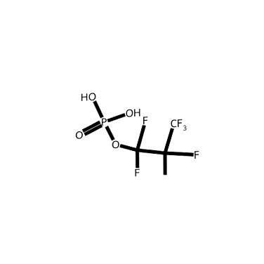 CC(F)(C(F)(F)F)C(F)(F)OP(=O)(O)O